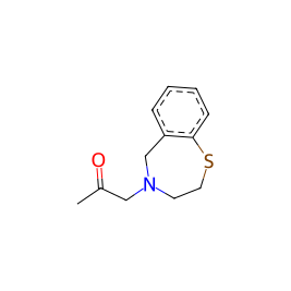 CC(=O)CN1CCSc2ccccc2C1